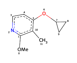 COc1nccc(OC2CC2)c1C